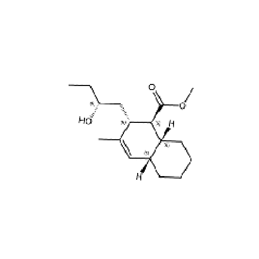 CC[C@@H](O)C[C@H]1C(C)=C[C@H]2CCCC[C@H]2[C@@H]1C(=O)OC